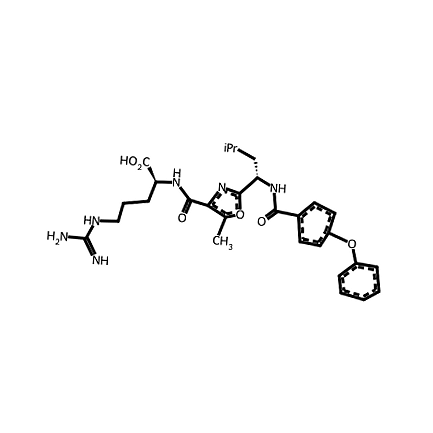 Cc1oc([C@H](CC(C)C)NC(=O)c2ccc(Oc3ccccc3)cc2)nc1C(=O)N[C@@H](CCCNC(=N)N)C(=O)O